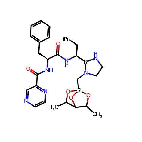 CC(C)C[C@H](NC(=O)[C@H](Cc1ccccc1)NC(=O)c1cnccn1)B1NCCN1C[Si]12OC(C)C(O1)C(C)O2